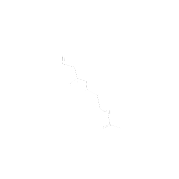 CC(=O)NCCCCC(O)CN=O